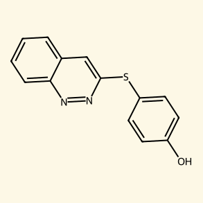 Oc1ccc(Sc2cc3ccccc3nn2)cc1